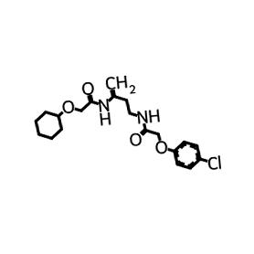 C=C(CCNC(=O)COc1ccc(Cl)cc1)NC(=O)COC1CCCCC1